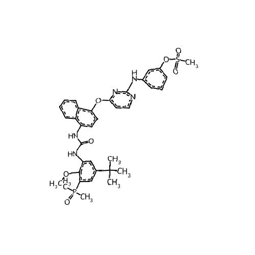 COc1c(NC(=O)Nc2ccc(Oc3ccnc(Nc4cccc(OS(C)(=O)=O)c4)n3)c3ccccc23)cc(C(C)(C)C)cc1P(C)(C)=O